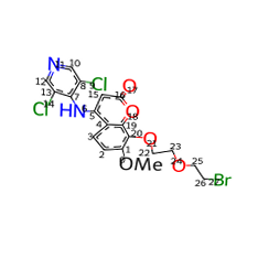 COc1ccc2c(Nc3c(Cl)cncc3Cl)cc(=O)oc2c1OCCOCCBr